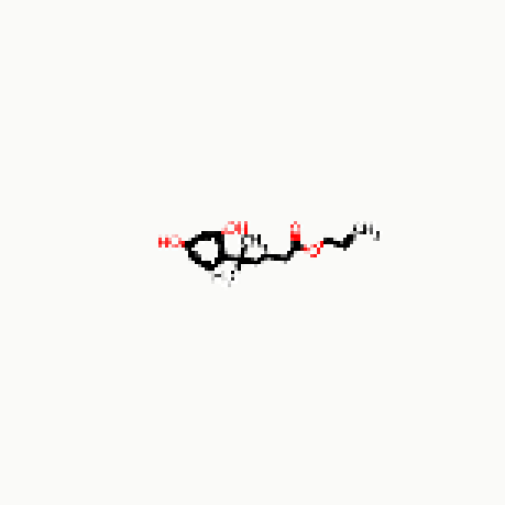 C=CCOC(=O)CCCC(C)(C)c1ccc(O)cc1O